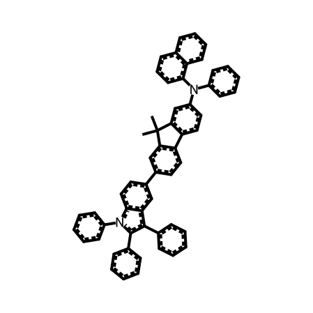 CC1(C)c2cc(-c3ccc4c(c3)c(-c3ccccc3)c(-c3ccccc3)n4-c3ccccc3)ccc2-c2ccc(N(c3ccccc3)c3cccc4ccccc34)cc21